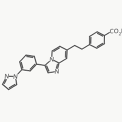 O=C(O)c1ccc(CCc2ccn3c(-c4cccc(-n5cccn5)c4)cnc3c2)cc1